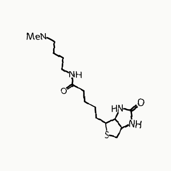 CNCCCCNC(=O)CCCCC1SCC2NC(=O)NC21